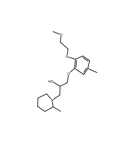 COCCOc1ccc(C)cc1OCC(O)CN1CCCCC1C